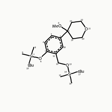 COC1(c2ccc(O[Si](C)(C)C(C)(C)C)c(CO[Si](C)(C)C(C)(C)C)c2)CCOCC1